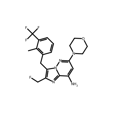 Cc1c(Cc2c(CF)nc3c(N)cc(N4CCOCC4)nn23)cccc1C(F)(F)F